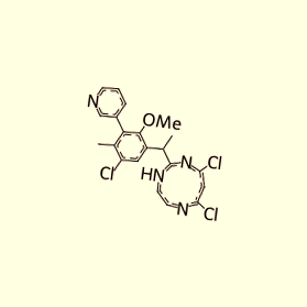 COc1c(C(C)c2nc(Cl)cc(Cl)ncc[nH]2)cc(Cl)c(C)c1-c1cccnc1